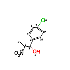 CC(C(O)c1ccc(Cl)cc1)[N+](=O)[O-]